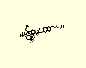 O=C(O)Cc1ccc2cc(CC(=O)Oc3ccc4c5c3O[C@H]3C(=O)CC[C@@]6(O)[C@@H](C4)N(CC4CC4)CC[C@]536)ccc2c1